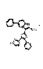 Cc1nc2ccc(-c3ccccc3)cn2c1-c1nc(-c2ccccc2)c(-c2nc[nH]n2)s1